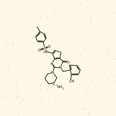 Cc1ccc(S(=O)(=O)Nc2csc3c(=O)n(Cc4ccccc4C#N)c(N4CCC[C@@H](N)C4)nc23)cc1